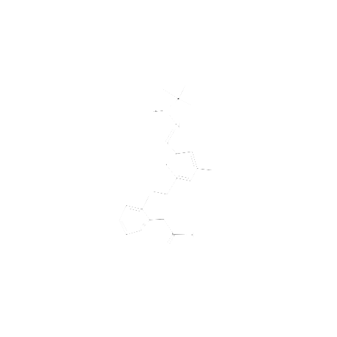 CC(C)(C)[S+]([O-])/N=C/c1cc(Cl)cc(COc2ccccc2CC(=O)O)c1